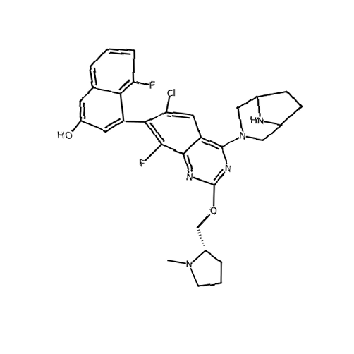 CN1CCC[C@H]1COc1nc(N2CC3CCC(C2)N3)c2cc(Cl)c(-c3cc(O)cc4cccc(F)c34)c(F)c2n1